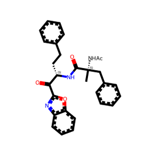 CC(=O)N[C@@](C)(Cc1ccccc1)C(=O)N[C@@H](CCc1ccccc1)C(=O)c1nc2ccccc2o1